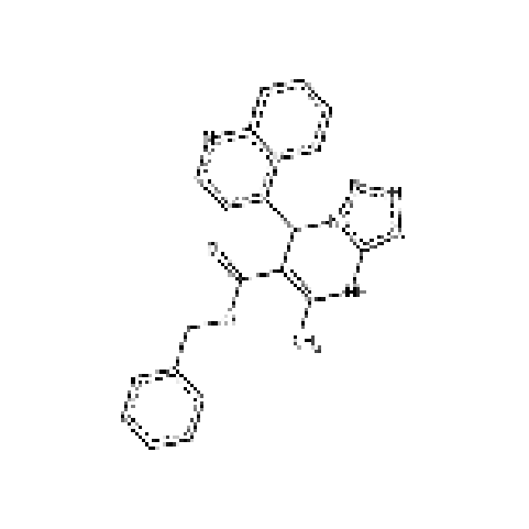 CC1=C(C(=O)OCc2ccccc2)C(c2ccnc3ccccc23)n2nnnc2N1